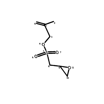 C=C(C)COS(=O)(=O)CC1CO1